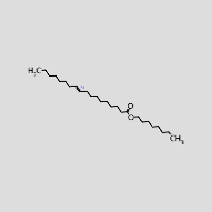 CCCCCCC/C=C/CCCCCCCCC(=O)OCCCCCCCC